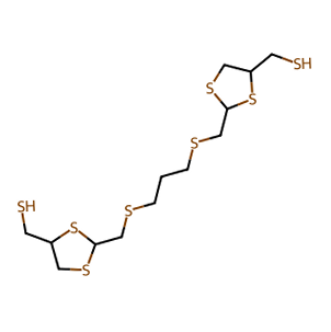 SCC1CSC(CSCCCSCC2SCC(CS)S2)S1